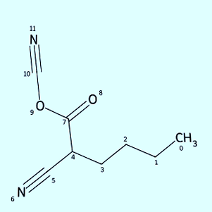 CCCCC(C#N)C(=O)OC#N